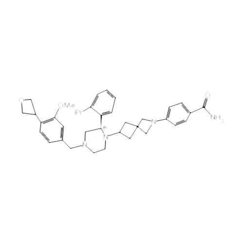 COc1cc(CN2CCN(C3CC4(C3)CN(c3ccc(C(N)=O)cc3)C4)[C@H](c3ccccc3C(C)C)C2)ccc1C1COC1